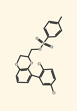 Cc1ccc(S(=O)(=O)OCC2COc3cccc(-c4cc(Cl)ccc4Cl)c3O2)cc1